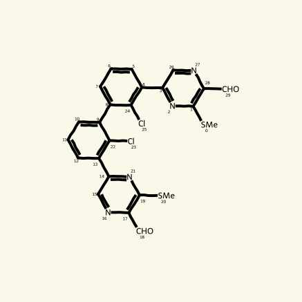 CSc1nc(-c2cccc(-c3cccc(-c4cnc(C=O)c(SC)n4)c3Cl)c2Cl)cnc1C=O